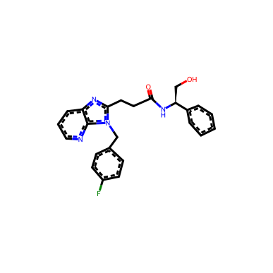 O=C(CCc1nc2cccnc2n1Cc1ccc(F)cc1)N[C@@H](CO)c1ccccc1